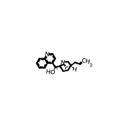 C=CC[C@@H]1CN2CCC1CC2[C@H](O)c1ccnc2ccccc12